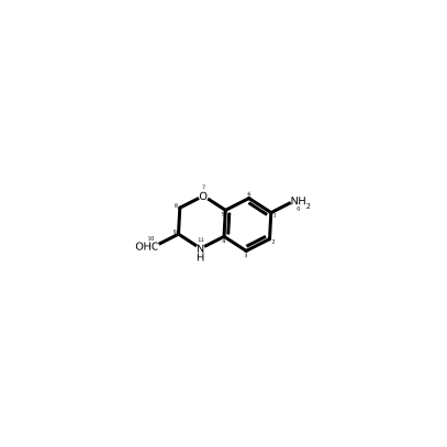 Nc1ccc2c(c1)OCC(C=O)N2